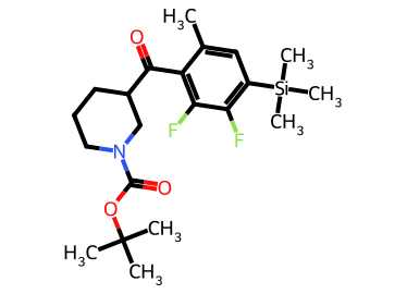 Cc1cc([Si](C)(C)C)c(F)c(F)c1C(=O)C1CCCN(C(=O)OC(C)(C)C)C1